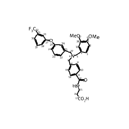 COc1ccc(CN(Cc2ccc(C(=O)NCCC(=O)O)cc2)Cc2cccc(Oc3cccc(C(F)(F)F)c3)c2)cc1OC